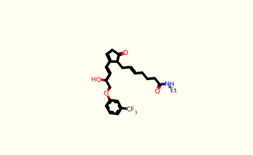 CCNC(=O)CCCC=CCC1C(=O)CC=C1C=CC(O)COc1cccc(C(F)(F)F)c1